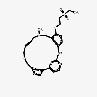 CCS(=O)(=O)CCOc1ccc2cc1CN(C)C/C=C/COCc1cc(co1)-c1ccnc(n1)N2